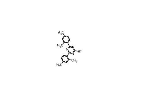 Cc1ccc(-c2nc(-c3ccc(C)cc3C)nc(C(C)C)n2)c(C)c1